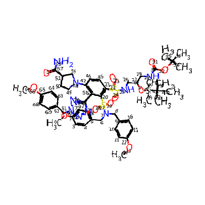 COc1ccc(CN(Cc2ccc(OC)cc2)S(=O)(=O)c2c(S(=O)(=O)NC[C@@H](CNC(=O)OC(C)(C)C)O[Si](C)(C)C(C)(C)C)ccc(N3CCC(C(N)=O)C3)c2-c2nnn(Cc3ccc(OC)cc3)n2)cc1